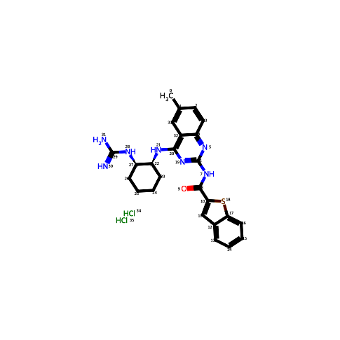 Cc1ccc2nc(NC(=O)c3cc4ccccc4s3)nc(N[C@H]3CCCC[C@H]3NC(=N)N)c2c1.Cl.Cl